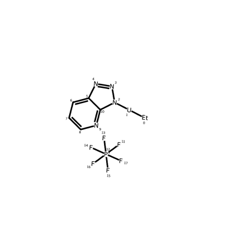 C[CH2][U][n]1nnc2cccnc21.F[P-](F)(F)(F)(F)F